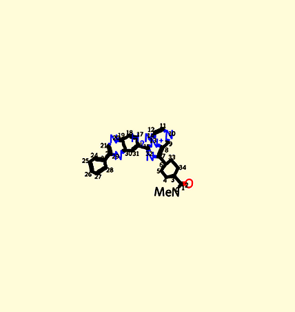 CNC(=O)C1CCC(C2=C3C=NC=C[N+]3(N)C(c3ccc4ncc(-c5ccccc5)nc4c3)=N2)CC1